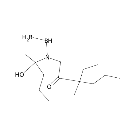 BBN(CC(=O)C(C)(CC)CCC)C(C)(O)CCC